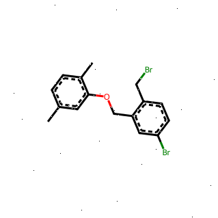 Cc1ccc(C)c(OCc2cc(Br)ccc2CBr)c1